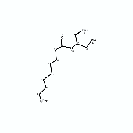 CCCCCCCCCCCCCCCCCC(=O)OC(CO)CC(C)(C)C